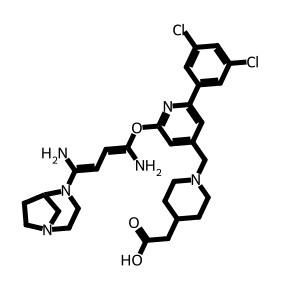 N/C(=C\C=C(/N)N1CCN2CCC1C2)Oc1cc(CN2CCC(CC(=O)O)CC2)cc(-c2cc(Cl)cc(Cl)c2)n1